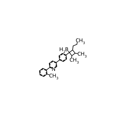 BC1(c2ccc(-c3ccc(-c4ccccc4C)nc3)cc2)C(C)C(C)C1CCC